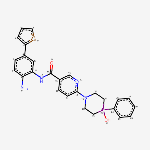 Nc1ccc(-c2cccs2)cc1NC(=O)c1ccc(N2CC[P](O)(c3ccccc3)CC2)nc1